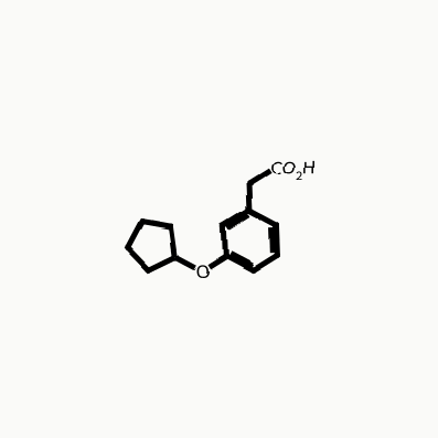 O=C(O)Cc1cccc(OC2CCCC2)c1